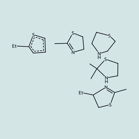 C1CSCCN1.CC1(C)NCCS1.CC1=NCCS1.CCC1CSC(C)=N1.CCc1cccs1